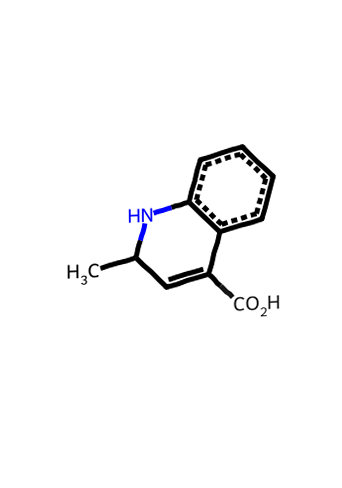 CC1C=C(C(=O)O)c2ccccc2N1